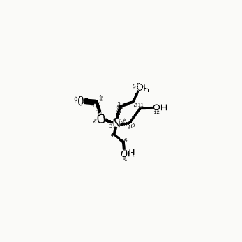 O=CO[N+](CCO)(CCO)CCO